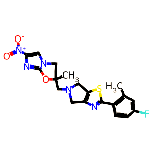 Cc1cc(F)ccc1-c1nc2c(s1)CN(CC1(C)Cn3cc([N+](=O)[O-])nc3O1)C2